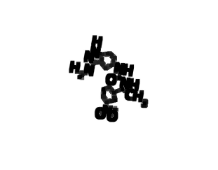 CC(NC(=O)Nc1ccc2[nH]nc(N)c2c1)c1cccc([N+](=O)[O-])c1